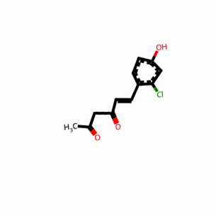 CC(=O)CC(=O)C=Cc1ccc(O)cc1Cl